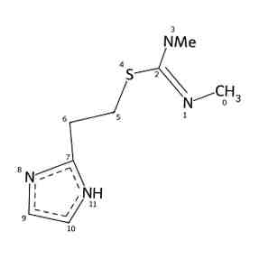 CN=C(NC)SCCc1ncc[nH]1